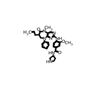 C=CCC1CN(c2ccccc2)c2nc(Nc3ccc(C(=O)N[C@H]4CCNC4)cc3OC)ncc2N(C)C1=O